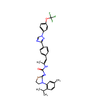 C/C(=C\c1ccc(-c2ncn(-c3ccc(OC(F)(F)F)cc3)n2)cc1)NC(=O)/N=C1\SCCN1c1cc(C)ccc1C(C)C